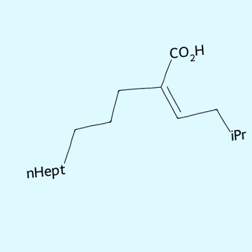 CCCCCCCCCCC(=CCC(C)C)C(=O)O